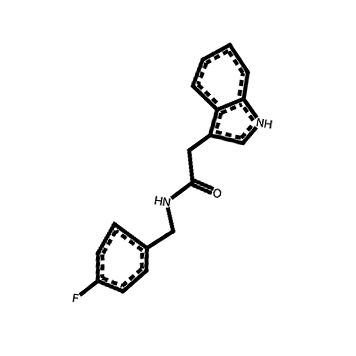 O=C(Cc1c[nH]c2ccccc12)NCc1ccc(F)cc1